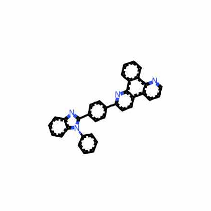 c1ccc(-n2c(-c3ccc(-c4ccc5c6cccnc6c6ccccc6c5n4)cc3)nc3ccccc32)cc1